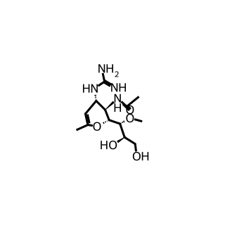 CO[C@@H]([C@@H]1OC(C)=C[C@H](NC(=N)N)[C@H]1NC(C)=O)[C@H](O)CO